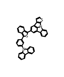 c1cc(-c2sc(-c3cc4c5ccccc5n5c6sccc6c(c3)c45)c3ccccc23)cc(-n2c3ccccc3c3ccccc32)c1